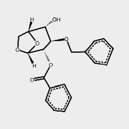 O=C(O[C@@H]1[C@@H]2OC[C@@H](O2)[C@H](O)[C@H]1OCc1ccccc1)c1ccccc1